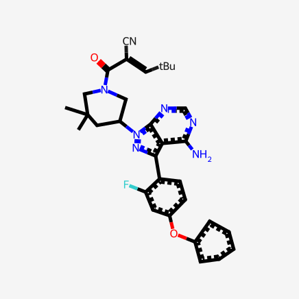 CC(C)(C)C=C(C#N)C(=O)N1CC(n2nc(-c3ccc(Oc4ccccc4)cc3F)c3c(N)ncnc32)CC(C)(C)C1